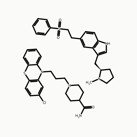 CN1CCC[C@@H]1Cc1c[nH]c2ccc(CCS(=O)(=O)c3ccccc3)cc12.NC(=O)C1CCN(CCCN2c3ccccc3Sc3ccc(Cl)cc32)CC1